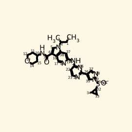 CCC(C)n1cc(C(=O)NC2CCOCC2)c2cnc(Nc3ccnc(-c4cnn([S+]([O-])C5CC5)c4)n3)cc21